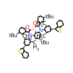 Cc1cc(-c2csc3ccccc23)cc(C)c1N1c2cc(C(C)(C)C)cc3c2B(c2oc4ccc(C(C)(C)C)cc4c21)c1oc2ccc(C(C)(C)C)cc2c1N3c1c(C)cc(-c2csc3ccccc23)cc1C